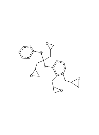 c1ccc([N]C(CC2CO2)(CC2CO2)[N]c2cccc(CC3CO3)c2CC2CO2)cc1